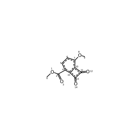 COC(=O)c1ccc(OC)c2c(=O)c(=O)c12